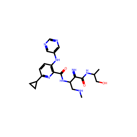 CNCC(NC(=O)c1nc(C2CC2)ccc1Nc1cncnc1)C(=N)C(=O)NC(C)CO